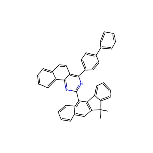 CC1(C)c2ccccc2-c2c1cc1ccccc1c2-c1nc(-c2ccc(-c3ccccc3)cc2)c2ccc3ccccc3c2n1